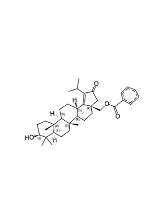 CC(C)C1=C2[C@H]3CC[C@@H]4[C@@]5(C)CC[C@H](O)C(C)(C)[C@@H]5CC[C@@]4(C)[C@]3(C)CC[C@@]2(COC(=O)c2ccccc2)CC1=O